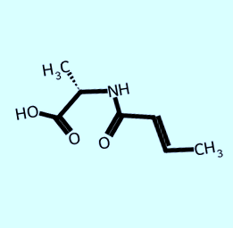 C/C=C/C(=O)N[C@@H](C)C(=O)O